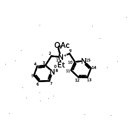 CC[N+](Cc1ccccn1)(Cc1ccccn1)OC(C)=O